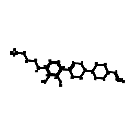 C=CC1CCC(C2CC=C(c3ccc(OCCCC)c(F)c3F)CC2)CC1